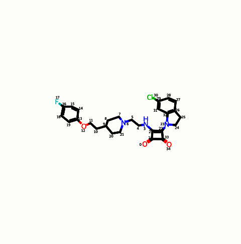 O=c1c(NCCN2CCC(CCOc3ccc(F)cc3)CC2)c(N2CCc3ccc(Cl)cc32)c1=O